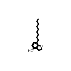 CCCCCCCCCc1ccc(O)c2c1OCC2